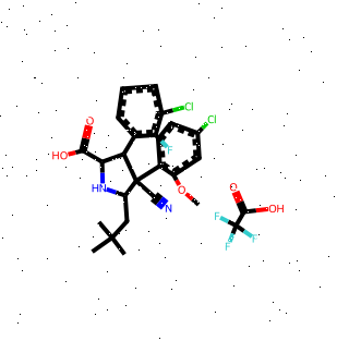 COc1cc(Cl)ccc1C1(C#N)C(CC(C)(C)C)NC(C(=O)O)C1c1cccc(Cl)c1F.O=C(O)C(F)(F)F